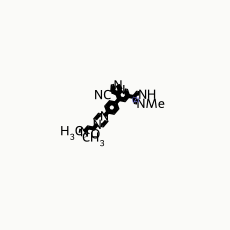 CN/C=C(\C=N)c1cc(-c2ccc(N3CCN(C(=O)CN(C)C)CC3)cc2)c2c(C#N)cnn2c1